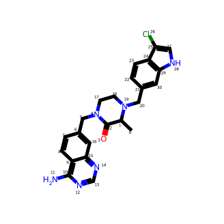 CC1C(=O)N(Cc2ccc3c(N)ncnc3c2)CCN1Cc1ccc2c(Cl)c[nH]c2c1